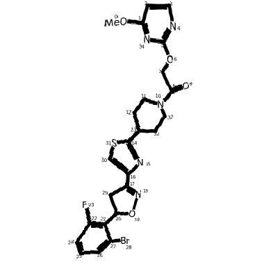 COc1ccnc(OCC(=O)N2CCC(c3nc(C4=NOC(c5c(F)cccc5Br)C4)cs3)CC2)n1